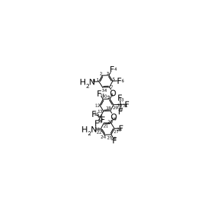 Nc1cc(F)c(F)c(Oc2c(F)cc(C(F)(F)F)c(Oc3cc(N)cc(F)c3F)c2C(F)(F)F)c1